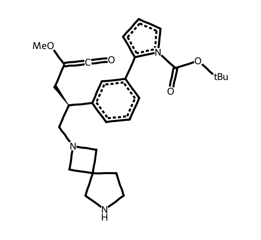 COC(=C=O)C[C@H](CN1CC2(CCNC2)C1)c1cccc(-c2cccn2C(=O)OC(C)(C)C)c1